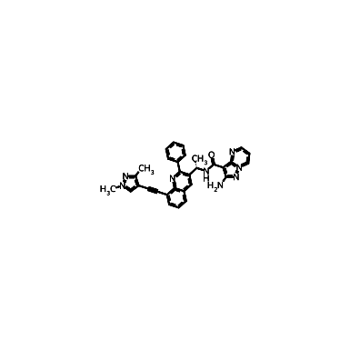 Cc1nn(C)cc1C#Cc1cccc2cc([C@H](C)NC(=O)c3c(N)nn4cccnc34)c(-c3ccccc3)nc12